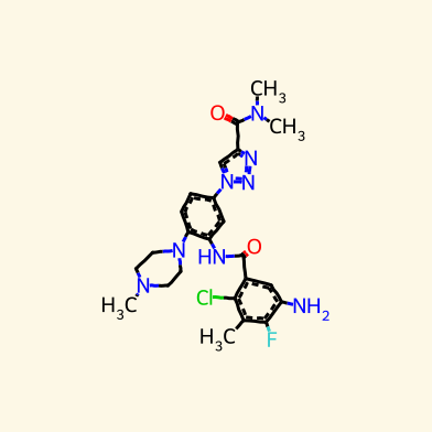 Cc1c(F)c(N)cc(C(=O)Nc2cc(-n3cc(C(=O)N(C)C)nn3)ccc2N2CCN(C)CC2)c1Cl